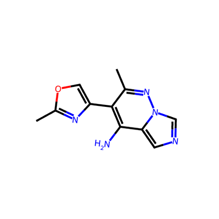 Cc1nc(-c2c(C)nn3cncc3c2N)co1